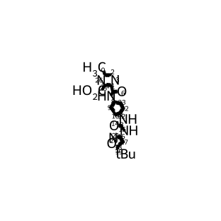 Cc1cnc(C(=O)Nc2ccc(NC(=O)Nc3cc(C(C)(C)C)on3)cc2)c(C(=O)O)n1